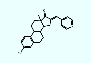 CC12CCC3c4ccc(O)cc4CCC3C1C/C(=C\c1ccncc1)C2=O